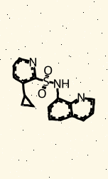 O=S(=O)(Nc1cccc2cccnc12)c1ncccc1C1CC1